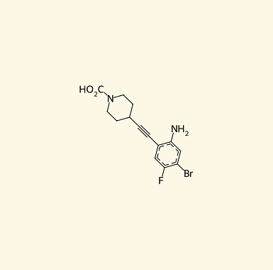 Nc1cc(Br)c(F)cc1C#CC1CCN(C(=O)O)CC1